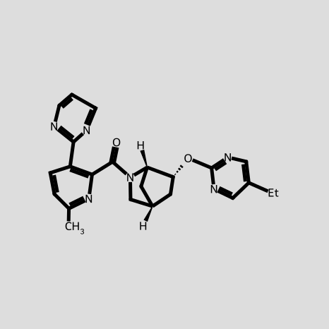 CCc1cnc(O[C@@H]2C[C@H]3C[C@@H]2N(C(=O)c2nc(C)ccc2-c2ncccn2)C3)nc1